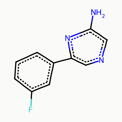 Nc1cncc(-c2cccc(F)c2)n1